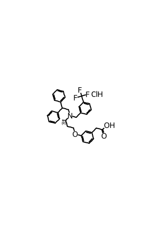 C[C@H](CCOc1cccc(CC(=O)O)c1)N(Cc1cccc(C(F)(F)F)c1)CC(c1ccccc1)c1ccccc1.Cl